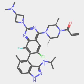 C=CC(=O)N1C[C@H](C)N(c2nc(N3CC(N(C)C)C3)nc3c(F)c(-c4c(C)ccc5[nH]nc(NC(C)C)c45)c(Cl)cc23)C[C@H]1C